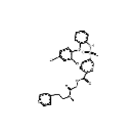 CN(CCc1ccncc1)C(=O)CNC(=O)c1ccc(S(=O)(=O)Nc2ccccc2Oc2ccc(Cl)cc2Cl)cc1